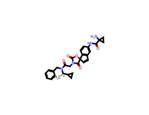 C[C@@H](C1CC1)N(Cc1ccccc1)C(=O)CN1C(=O)OC2(C=Cc3cc(NC(=O)C4(N)CC4)ccc32)C1=O